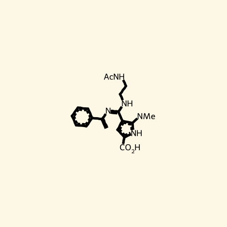 C=C(/N=C(/NCCNC(C)=O)c1cc(C(=O)O)[nH]c1NC)c1ccccc1